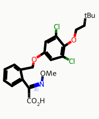 CO/N=C(/C(=O)O)c1ccccc1COc1cc(Cl)c(OCCC(C)(C)C)c(Cl)c1